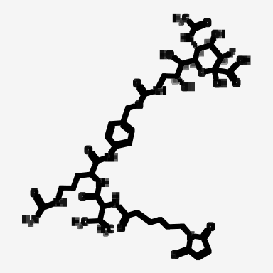 CC(=O)N[C@@H]1[C@@H](O)[C@@H](F)C(O)(C(=O)O)O[C@H]1[C@H](O)[C@H](O)CNC(=O)OCc1ccc(NC(=O)C(CCCNC(N)=O)NC(=O)C(NC(=O)CCCCCN2C(=O)C=CC2=O)C(C)C)cc1